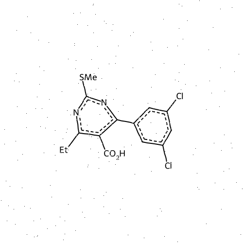 CCc1nc(SC)nc(-c2cc(Cl)cc(Cl)c2)c1C(=O)O